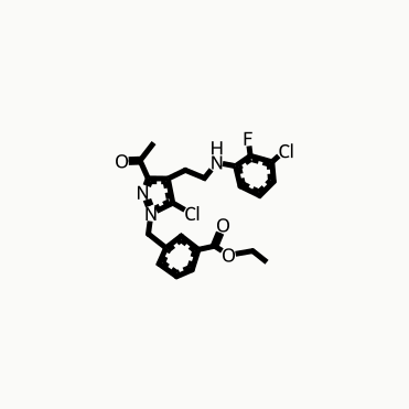 CCOC(=O)c1cccc(Cn2nc(C(C)=O)c(CCNc3cccc(Cl)c3F)c2Cl)c1